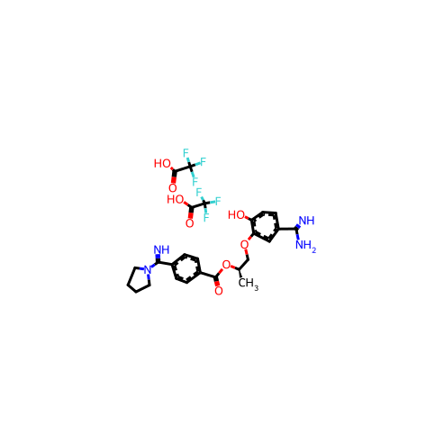 C[C@H](COc1cc(C(=N)N)ccc1O)OC(=O)c1ccc(C(=N)N2CCCC2)cc1.O=C(O)C(F)(F)F.O=C(O)C(F)(F)F